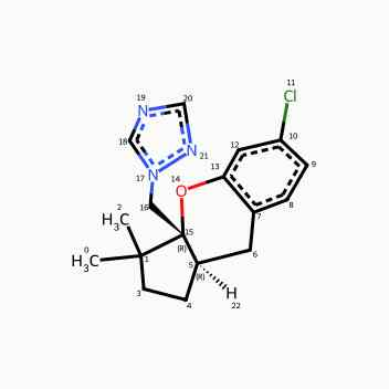 CC1(C)CC[C@@H]2Cc3ccc(Cl)cc3O[C@]21Cn1cncn1